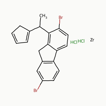 CC(C1=CC=CC1)c1c(Br)ccc2c1Cc1cc(Br)ccc1-2.Cl.Cl.[Zr]